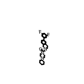 O=C(CN1CCc2cc(-c3cc(F)cc(F)c3)ccc2C1)N1CCN(C2CCCCC2)CC1